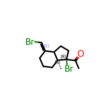 CC(=O)[C@@]1(Br)CCC2/C(=C/Br)CCC[C@@]21C